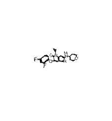 O=c1c(Oc2ccc(F)cc2F)cc2cnc(NC3CCOCC3)cc2n1C1CC1